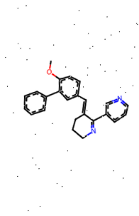 COc1ccc(C=C2CCCN=C2c2cccnc2)cc1-c1ccccc1